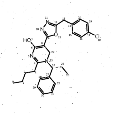 CCCCC1=NC(O)=C(c2nnc(Cc3ccc(Cl)cc3)o2)CN1[C@H](CC)c1ccccc1